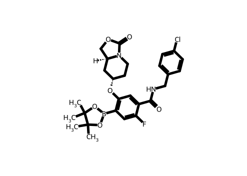 CC1(C)OB(c2cc(F)c(C(=O)NCc3ccc(Cl)cc3)cc2O[C@H]2CCN3C(=O)OC[C@@H]3C2)OC1(C)C